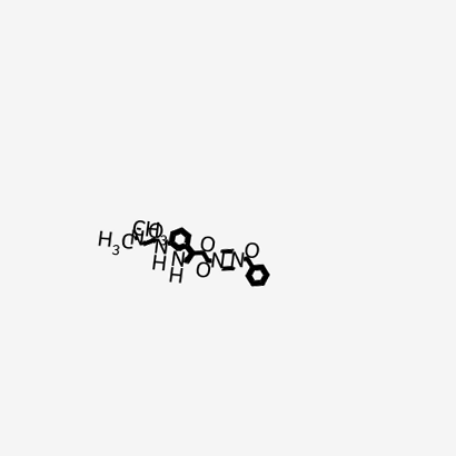 CN(C)CC(=O)Nc1cccc2c(C(=O)C(=O)N3CCN(C(=O)c4ccccc4)CC3)c[nH]c12